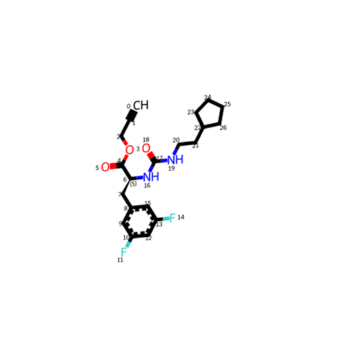 C#CCOC(=O)[C@H](Cc1cc(F)cc(F)c1)NC(=O)NCCC1CCCC1